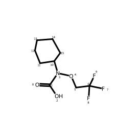 O=C(O)N(OCC(F)(F)F)C1CCCCC1